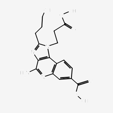 CCCCc1nc2c(N)nc3cc(C(=O)OC)ccc3c2n1CCC(=O)OC